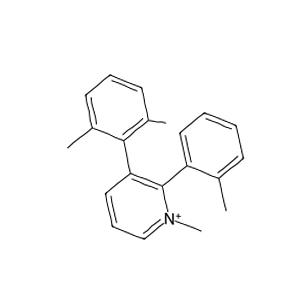 Cc1ccccc1-c1c(-c2c(C)cccc2C)ccc[n+]1C